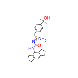 CC(C)(O)c1ccc(C/S(N)=N/C(=O)Nc2c3c(cc4c2CCC4)CCC3)cc1